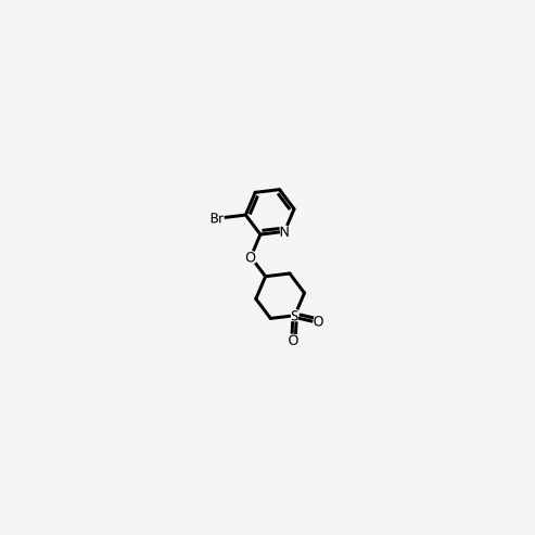 O=S1(=O)CCC(Oc2ncccc2Br)CC1